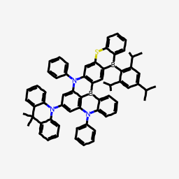 CC(C)c1cc(C(C)C)c(B2c3ccccc3Sc3cc4c(cc32)B2c3ccccc3N(c3ccccc3)c3cc(N5c6ccccc6C(C)(C)c6ccccc65)cc(c32)N4c2ccccc2)c(C(C)C)c1